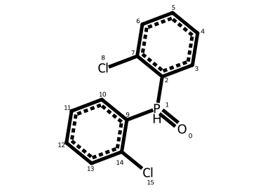 O=[PH](c1ccccc1Cl)c1ccccc1Cl